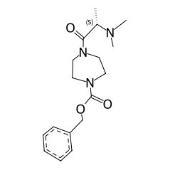 C[C@@H](C(=O)N1CCN(C(=O)OCc2ccccc2)CC1)N(C)C